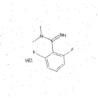 CN(C)C(=N)c1c(F)cccc1F.Cl